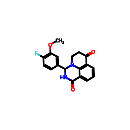 COc1cc(C2NC(=O)c3cccc4c3N2CCC4=O)ccc1F